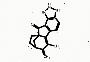 C=C1C(C)=C2c3ccc4c(c3C(=O)C23CCC1C3)NNN4